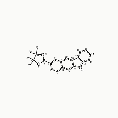 CC1(C)OB(c2ccc3cc4oc5ccccc5c4cc3c2)OC1(C)C